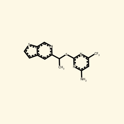 CC(Sc1nc(N)cc(C(F)(F)F)n1)c1cc2ccsc2cn1